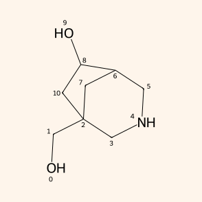 OCC12CNCC(C1)C(O)C2